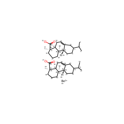 CC(C)C1CC[C@H]2C(=CCC3[C@](C)(C(=O)[O-])CCC[C@@]32C)C1.CC(C)C1CC[C@H]2C(=CCC3[C@](C)(C(=O)[O-])CCC[C@@]32C)C1.[Be+2]